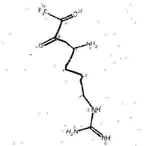 N=C(N)NCCCC(N)C(=O)C(=O)C(F)(F)F